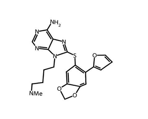 CNCCCCn1c(Sc2cc3c(cc2-c2ccco2)OCO3)nc2c(N)ncnc21